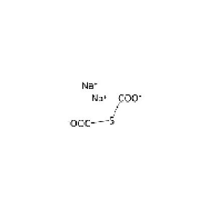 O=C([O-])SC(=O)[O-].[Na+].[Na+]